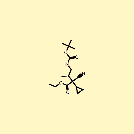 CCOC(=O)C(C#N)(C1CC1)[C@@H](C)CNC(=O)OC(C)(C)C